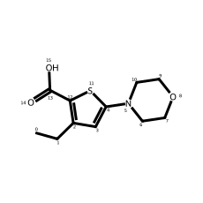 CCc1cc(N2CCOCC2)sc1C(=O)O